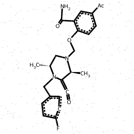 CC(=O)c1ccc(OCN2C[C@@H](C)N(Cc3ccc(F)cc3)C(=C=O)[C@@H]2C)c(C(N)=O)c1